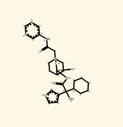 O=C(C[N+]12CCC(CC1)[C@@H](OC(=O)C(O)(c1ccoc1)C1CCCCC1)C2)Nc1cncnc1